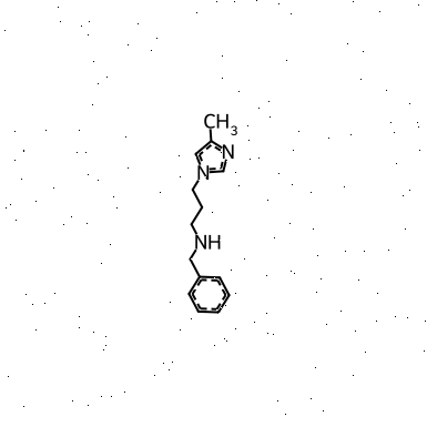 Cc1cn(CCCNCc2ccccc2)cn1